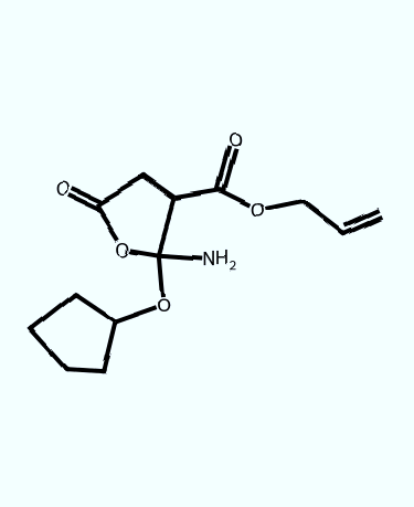 C=CCOC(=O)C1CC(=O)OC1(N)OC1CCCC1